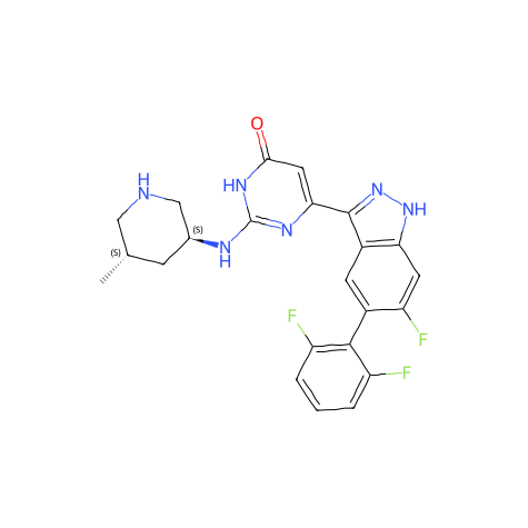 C[C@@H]1CNC[C@@H](Nc2nc(-c3n[nH]c4cc(F)c(-c5c(F)cccc5F)cc34)cc(=O)[nH]2)C1